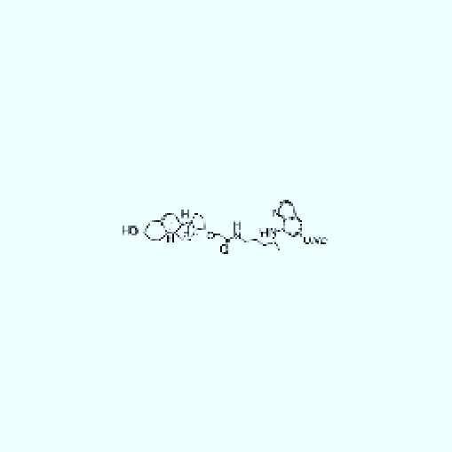 COc1cc(NC(C)CCCNC(=O)CO[C@H]2CC[C@H]3[C@@H]4CC=C5C[C@@H](O)CC[C@]5(C)[C@H]4CC[C@]23C)c2ncccc2c1